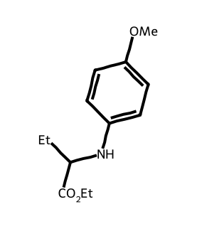 CCOC(=O)C(CC)Nc1ccc(OC)cc1